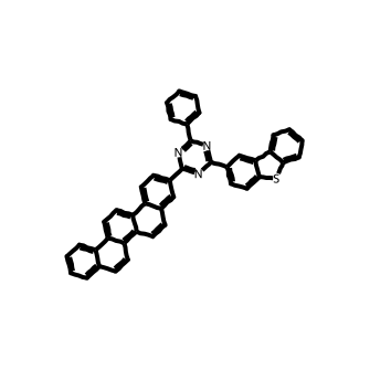 c1ccc(-c2nc(-c3ccc4c(ccc5c4ccc4c6ccccc6ccc45)c3)nc(-c3ccc4sc5ccccc5c4c3)n2)cc1